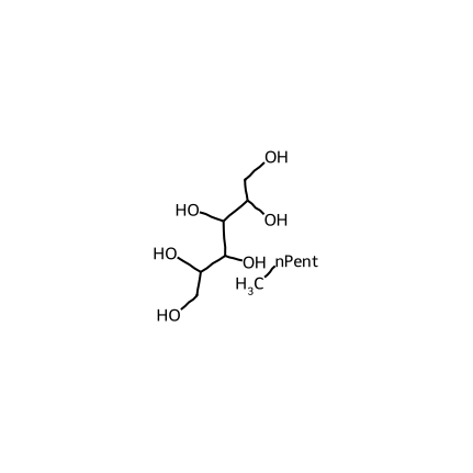 CCCCCC.OCC(O)C(O)C(O)C(O)CO